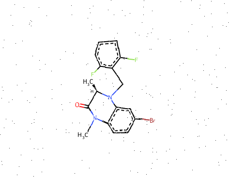 C[C@@H]1C(=O)N(C)c2ccc(Br)cc2N1Cc1c(F)cccc1F